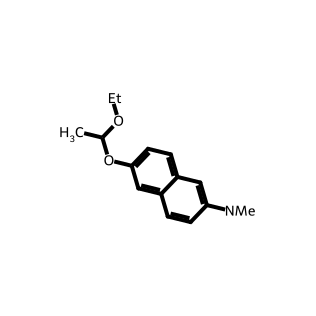 CCOC(C)Oc1ccc2cc(NC)ccc2c1